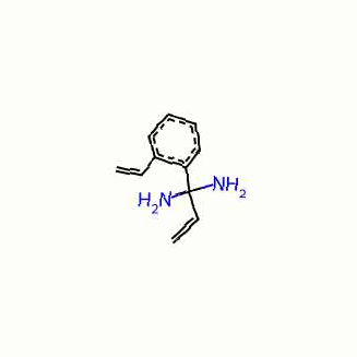 C=Cc1ccccc1C(N)(N)C=C